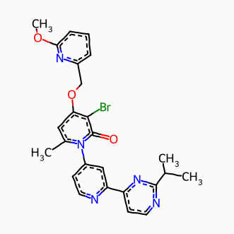 COc1cccc(COc2cc(C)n(-c3ccnc(-c4ccnc(C(C)C)n4)c3)c(=O)c2Br)n1